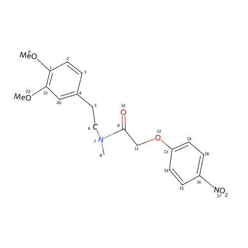 COc1ccc(CCN(C)C(=O)COc2ccc([N+](=O)[O-])cc2)cc1OC